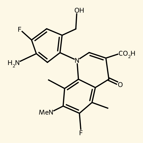 CNc1c(F)c(C)c2c(=O)c(C(=O)O)cn(-c3cc(N)c(F)cc3CO)c2c1C